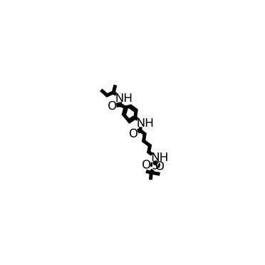 CCC(C)NC(=O)c1ccc(NC(=O)CCCCNS(=O)(=O)C(C)(C)C)cc1